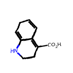 O=C(O)C1=C2C=CCC=C2NCC1